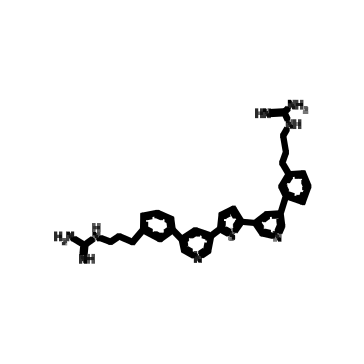 N=C(N)NCCCc1cccc(-c2cncc(-c3ccc(-c4cncc(-c5cccc(CCCNC(=N)N)c5)c4)s3)c2)c1